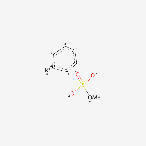 COS(=O)(=O)[O-].[K+].c1ccccc1